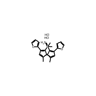 CC1=CC(c2ccco2)=[C]([Ti]([CH3])([CH3])(=[SiH2])[C]2=C(c3ccco3)C=C(C)C2C)C1C.Cl.Cl